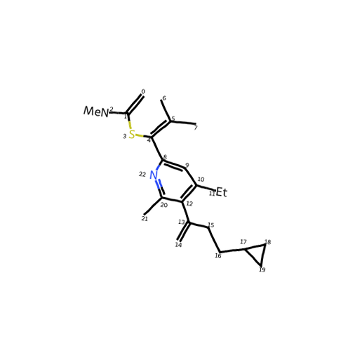 C=C(NC)SC(=C(C)C)c1cc(CC)c(C(=C)CCC2CC2)c(C)n1